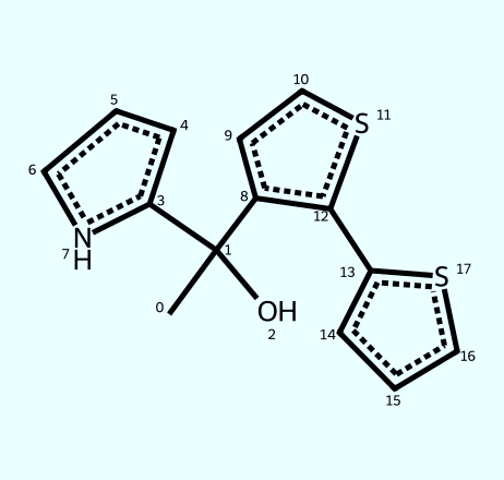 CC(O)(c1ccc[nH]1)c1ccsc1-c1cccs1